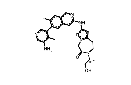 Cc1c(N)cncc1-c1cc2cc(Nc3cc4n(n3)CC(=O)N([C@H](C)CO)CC4)ncc2cc1F